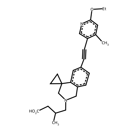 CCOc1cc(C)c(C#Cc2ccc3c(c2)C2(CC2)CN(CC(C)CC(=O)O)C3)cn1